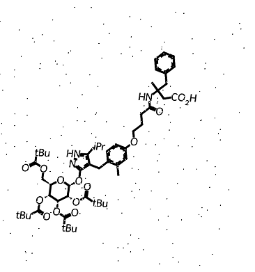 Cc1cc(OCCCC(=O)NC(C)(CC(=O)O)Cc2ccccc2)ccc1Cc1c(O[C@@H]2O[C@H](COC(=O)C(C)(C)C)[C@@H](OC(=O)C(C)(C)C)[C@H](OC(=O)C(C)(C)C)[C@H]2OC(=O)C(C)(C)C)n[nH]c1C(C)C